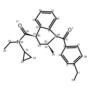 CCc1ccc(C(=O)N2c3ccccc3[C@H](C(=O)N(CC)C3CC3)C[C@@H]2C)cc1